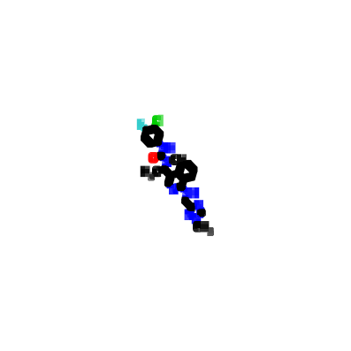 CC(c1cnc(NCc2ncn(C)n2)c2ccccc12)N(C)C(=O)Nc1ccc(F)c(Cl)c1